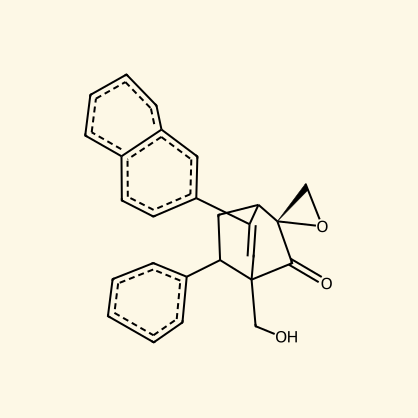 O=C1C2(CO)C=C(c3ccc4ccccc4c3)C(CC2c2ccccc2)[C@@]12CO2